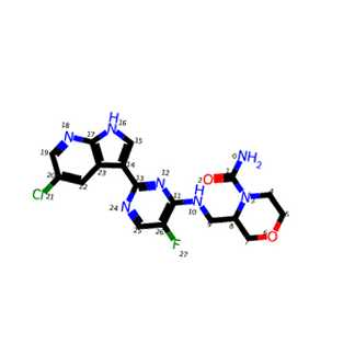 NC(=O)N1CCOCC1CNc1nc(-c2c[nH]c3ncc(Cl)cc23)ncc1F